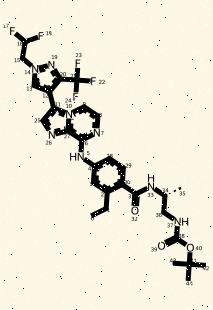 CCc1cc(Nc2nccn3c(-c4cn(CC(F)F)nc4C(F)(F)F)cnc23)ccc1C(=O)N[C@H](C)CNC(=O)OC(C)(C)C